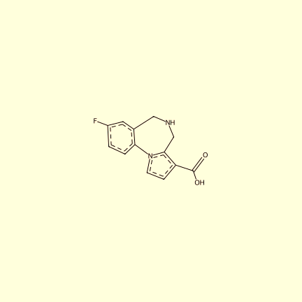 O=C(O)c1ccn2c1CNCc1cc(F)ccc1-2